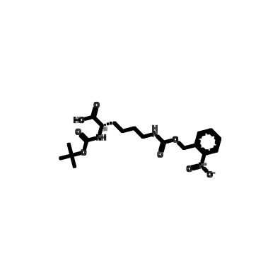 CC(C)(C)OC(=O)N[C@@H](CCCCNC(=O)OCc1ccccc1[N+](=O)[O-])C(=O)O